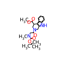 COC(=O)C1CN(C(=O)CN(C)C(=O)OC(C)(C)C)Cc2[nH]c3ccccc3c21